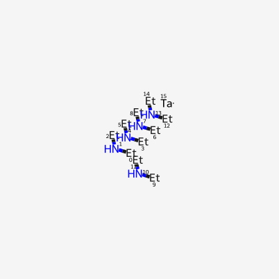 CCNCC.CCNCC.CCNCC.CCNCC.CCNCC.[Ta]